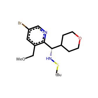 COCc1cc(Br)cnc1[C@@H](NSC(C)(C)C)C1CCOCC1